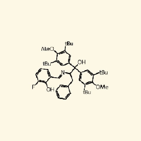 COc1c(C(C)(C)C)cc(C(O)(c2cc(C(C)(C)C)c(OC)c(C(C)(C)C)c2)C(Cc2ccccc2)N=Cc2cccc(F)c2O)cc1C(C)(C)C